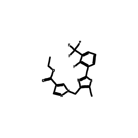 CCOC(=O)c1cnn(Cc2nc(-c3cccc(C(F)(F)F)c3F)sc2C)c1